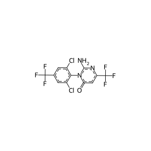 Nc1nc(C(F)(F)F)cc(=O)n1-c1c(Cl)cc(C(F)(F)F)cc1Cl